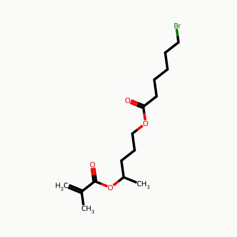 C=C(C)C(=O)OC(C)CCCOC(=O)CCCCCBr